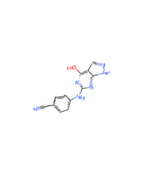 N#Cc1ccc(Nc2nc(O)c3cn[nH]c3n2)cc1